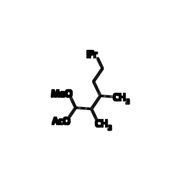 COC(OC(C)=O)C(C)C(C)CCC(C)C